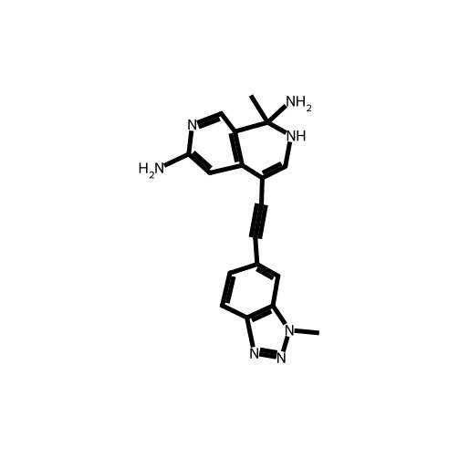 Cn1nnc2ccc(C#CC3=CNC(C)(N)c4cnc(N)cc43)cc21